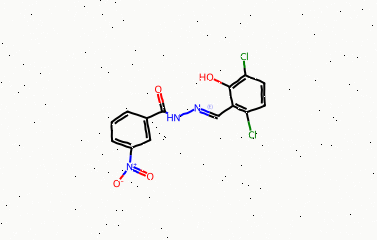 O=C(N/N=C/c1c(Cl)ccc(Cl)c1O)c1cccc([N+](=O)[O-])c1